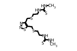 CNC(=S)NCCSCc1nnsc1CSCCNC(=S)NC